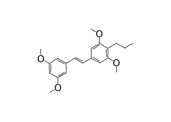 CCCc1c(OC)cc(C=Cc2cc(OC)cc(OC)c2)cc1OC